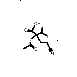 CC(=O)NC(CCC#N)(C(=O)O)C(F)F